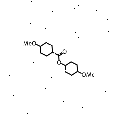 COC1CCC(OC(=O)C2CCC(OC)CC2)CC1